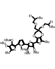 CCCCCCn1c(-c2sc(-c3sc(C(C)(C)C)c4c3OCC(COCC(CC)CCCC)(COCC(CC)CCCC)CO4)c(OCCCC)c2OCCCC)ccc1-c1sc(C(C)(C)C)c(OCCCC)c1OCCCC